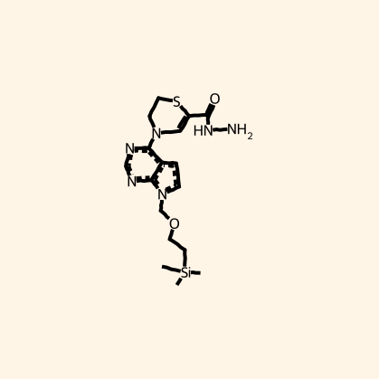 C[Si](C)(C)CCOCn1ccc2c(N3C=C(C(=O)NN)SCC3)ncnc21